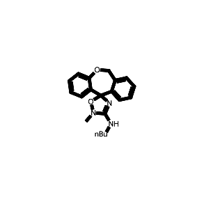 CCCCNC1=NC2(ON1C)c1ccccc1COc1ccccc12